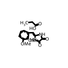 CCC(=O)O.COc1cccc(C=C2NC(=O)C(=O)N2)c1OC